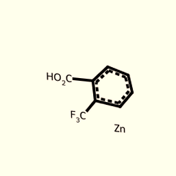 O=C(O)c1ccccc1C(F)(F)F.[Zn]